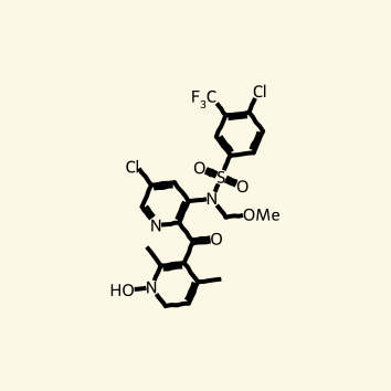 COCN(c1cc(Cl)cnc1C(=O)C1=C(C)N(O)CC=C1C)S(=O)(=O)c1ccc(Cl)c(C(F)(F)F)c1